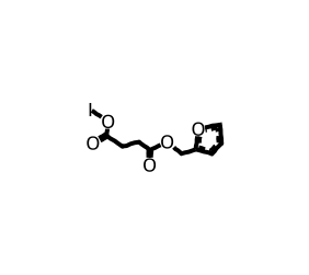 O=C(CCC(=O)OCc1ccco1)OI